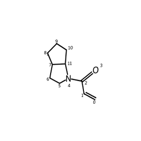 C=CC(=O)N1CCC2[CH]CCC21